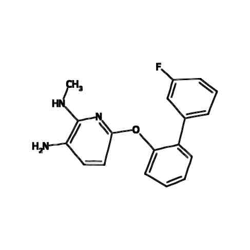 CNc1nc(Oc2ccccc2-c2cccc(F)c2)ccc1N